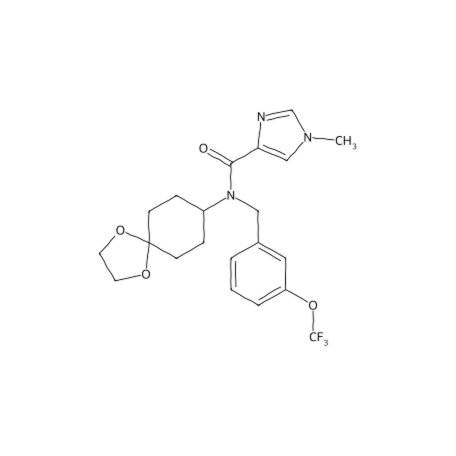 Cn1cnc(C(=O)N(Cc2cccc(OC(F)(F)F)c2)C2CCC3(CC2)OCCO3)c1